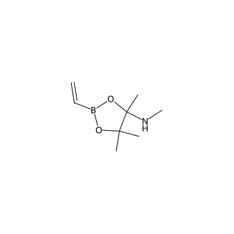 C=CB1OC(C)(C)C(C)(NC)O1